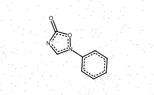 O=c1ncn(-c2ccccc2)o1